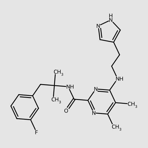 Cc1nc(C(=O)NC(C)(C)Cc2cccc(F)c2)nc(NCCc2cn[nH]c2)c1C